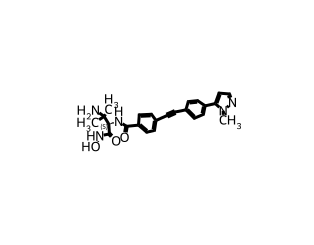 Cn1nccc1-c1ccc(C#Cc2ccc(C(=O)N[C@H](C(=O)NO)C(C)(C)N)cc2)cc1